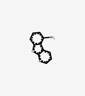 Nc1cccc2oc3ncccc3c12